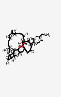 C=C1C[C@@H]2CC[C@@]3(O)C[C@H]4O[C@H]5[C@@H]6[C@@H](O[C@H]7CC[C@@H]8CC(=O)C[C@@H]9[C@@H](OC)[C@@H](C[C@@H](CN)OC)O[C@H]9C[C@H]9O[C@@H](CC[C@@H]1O2)C[C@@H](C)/C9=N/[C@@]7(O8)[C@@H]6O3)[C@@H]54